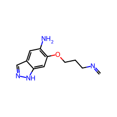 C=NCCCOc1cc2[nH]ncc2cc1N